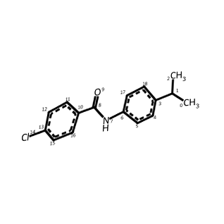 CC(C)c1ccc(NC(=O)c2ccc(Cl)cc2)cc1